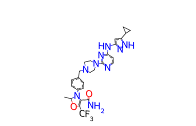 CC1OC(C(F)(F)F)=C(C(N)=O)N1c1ccc(CN2CCN(c3nccc(Nc4cc(C5CC5)[nH]n4)n3)CC2)cc1